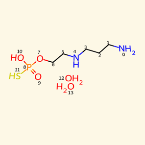 NCCCNCCOP(=O)(O)S.O.O